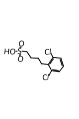 O=S(=O)(O)CCCCc1c(Cl)cccc1Cl